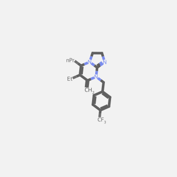 C=C1C(CC)=C(CCC)N2CCN=C2N1Cc1ccc(C(F)(F)F)cc1